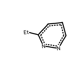 CCc1cccnn1